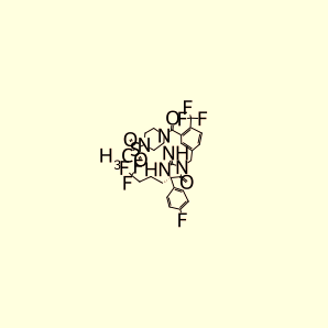 CS(=O)(=O)N1CCN(C(=O)c2cc(CN3C(=N)N[C@](CCCC(F)(F)F)(c4ccc(F)cc4)C3=O)ccc2C(F)(F)F)CC1